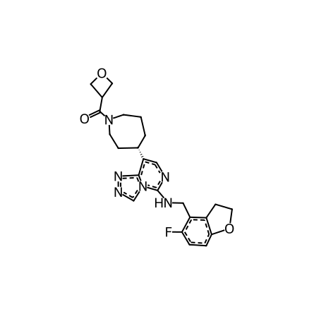 O=C(C1COC1)N1CCC[C@H](c2cnc(NCc3c(F)ccc4c3CCO4)n3cnnc23)CC1